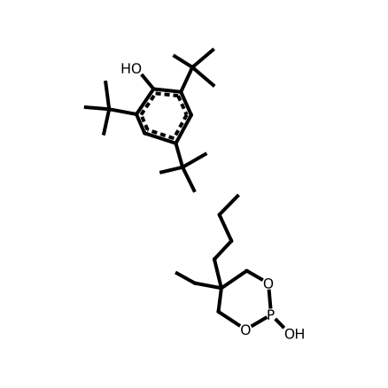 CC(C)(C)c1cc(C(C)(C)C)c(O)c(C(C)(C)C)c1.CCCCC1(CC)COP(O)OC1